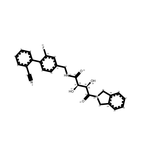 N#Cc1ccccc1-c1ccc(CNC(=O)[C@H](O)[C@@H](O)C(=O)N2Cc3ccccc3C2)cc1F